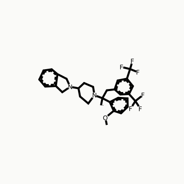 [CH2]C(Cc1cc(C(F)(F)F)cc(C(F)(F)F)c1)(c1ccccc1OC)N1CCC(N2Cc3ccccc3C2)CC1